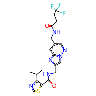 CC(C)c1ncsc1C(=O)NCc1cn2ncc(CNC(=O)CCC(F)(F)F)cc2n1